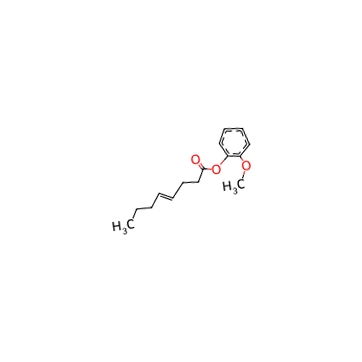 CCCC=CCCC(=O)Oc1ccccc1OC